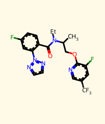 CCN(C(=O)c1ccc(F)cc1-n1nccn1)C(C)COc1ncc(C(F)(F)F)cc1F